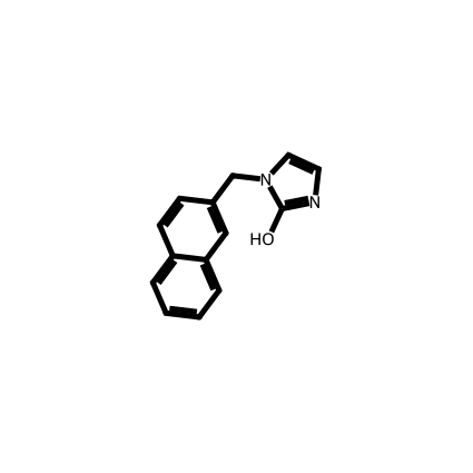 Oc1nccn1Cc1ccc2ccccc2c1